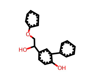 Oc1ccc(C(O)COc2ccccc2)cc1-c1ccccc1